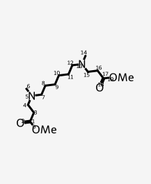 COC(=O)CCN(C)CCCCCCN(C)CCC(=O)OC